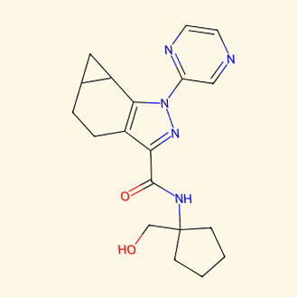 O=C(NC1(CO)CCCC1)c1nn(-c2cnccn2)c2c1CCC1CC21